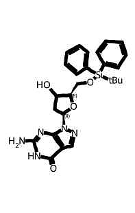 CC(C)(C)[Si](OC[C@H]1O[C@@H](n2ncc3c(=O)[nH]c(N)nc32)CC1O)(c1ccccc1)c1ccccc1